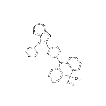 CC1(C)c2ccccc2N(c2ccc(-c3nc4ncccc4n3-c3ccccc3)cc2)c2ccccc21